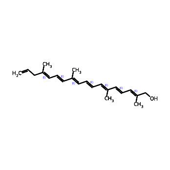 C=CC/C(C)=C/C=C/C(C)=C/C=C/C=C(C)/C=C/C=C(\C)CO